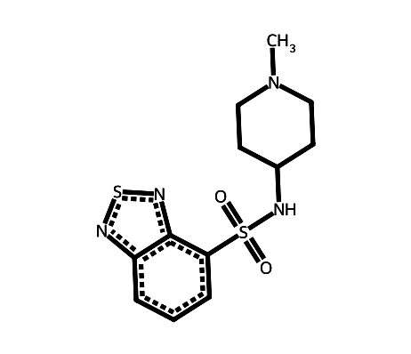 CN1CCC(NS(=O)(=O)c2cccc3nsnc23)CC1